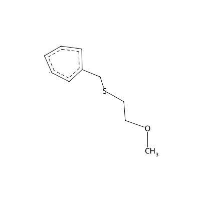 COCCSCc1c[c]ccc1